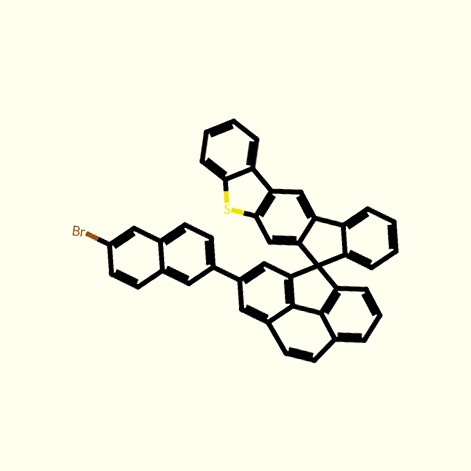 Brc1ccc2cc(-c3cc4c5c(ccc6cccc(c65)C45c4ccccc4-c4cc6c(cc45)sc4ccccc46)c3)ccc2c1